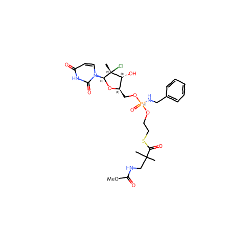 COC(=O)NCC(C)(C)C(=O)SCCO[P@](=O)(NCc1ccccc1)OC[C@H]1O[C@@H](n2ccc(=O)[nH]c2=O)[C@](C)(Cl)[C@@H]1O